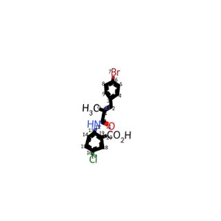 C/C(=C\c1ccc(Br)cc1)C(=O)Nc1ccc(Cl)cc1C(=O)O